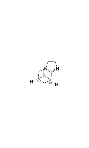 c1cn2c(n1)[C@H]1C[C@@H](C2)N1